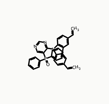 C=Cc1ccc2c(c1)c1cc(C=C)ccc1n2-c1ncncc1P(=O)(c1ccccc1)c1ccccc1